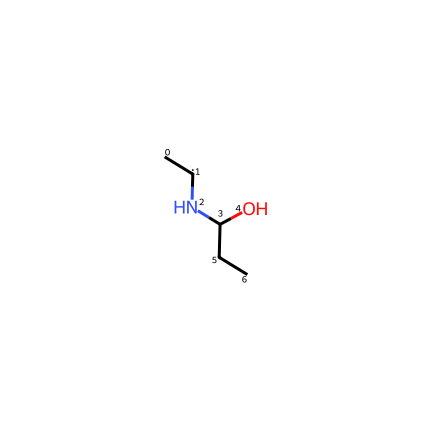 C[CH]NC(O)CC